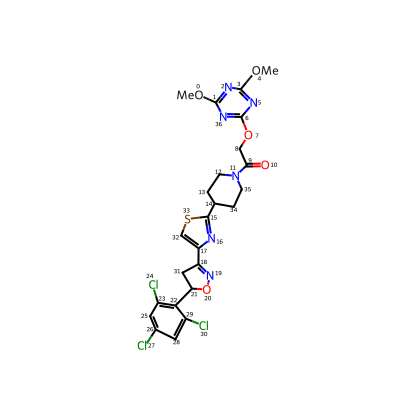 COc1nc(OC)nc(OCC(=O)N2CCC(c3nc(C4=NOC(c5c(Cl)cc(Cl)cc5Cl)C4)cs3)CC2)n1